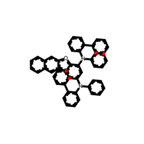 c1ccc(-c2ccccc2N(c2ccccc2)c2cc(N(c3ccccc3)c3ccccc3-c3ccccc3)c3oc4cc5ccccc5cc4c3c2)cc1